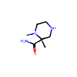 CN1CCNCC1(C)C(N)=O